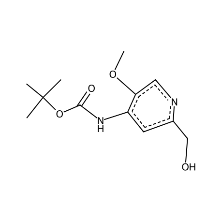 COc1cnc(CO)cc1NC(=O)OC(C)(C)C